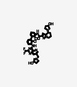 O=C(Nc1cccc(-c2cccc(Nc3nc(C(F)F)nc4cc(CN5CC[C@@H](O)C5)cnc34)c2Cl)c1Cl)c1cc2n(n1)CCCC2N1CC[C@@H](O)C1